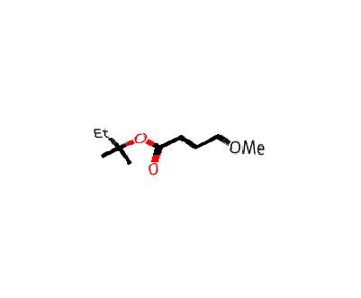 CCC(C)(C)OC(=O)CCCOC